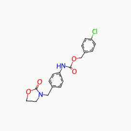 O=C(Nc1ccc(CN2CCOC2=O)cc1)OCc1ccc(Cl)cc1